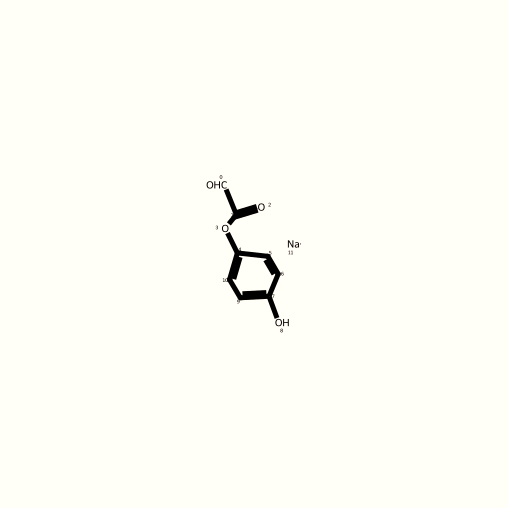 O=CC(=O)Oc1ccc(O)cc1.[Na]